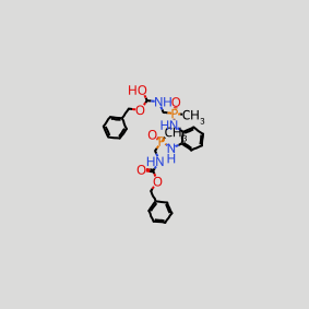 CP(=O)(CNC(=O)OCc1ccccc1)Nc1ccccc1NP(C)(=O)CNC(O)OCc1ccccc1